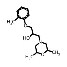 Cc1ccccc1OCC(O)CN1CC(C)OC(C)C1